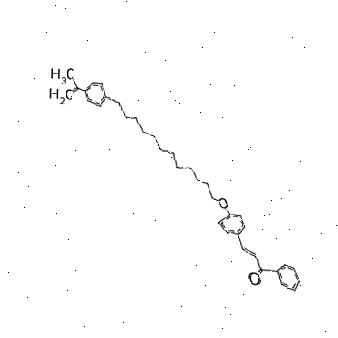 C=C(C)c1ccc(CCCCCCCCCCCCOc2ccc(/C=C/C(=O)c3ccccc3)cc2)cc1